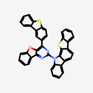 c1ccc2c(c1)oc1c(-c3ccc4sc5ccccc5c4c3)nc(-n3c4ccccc4c4ccc5c6ccccc6sc5c43)nc12